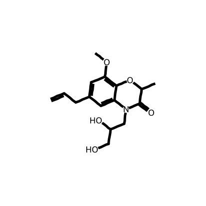 C=CCc1cc(OC)c2c(c1)N(CC(O)CO)C(=O)C(C)O2